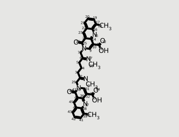 CN=C(CCCC(Cn1cc(C(=O)O)c2nc3c(C)cccc3cc2c1=O)=NC)Cn1cc(C(=O)O)c2nc3c(C)cccc3cc2c1=O